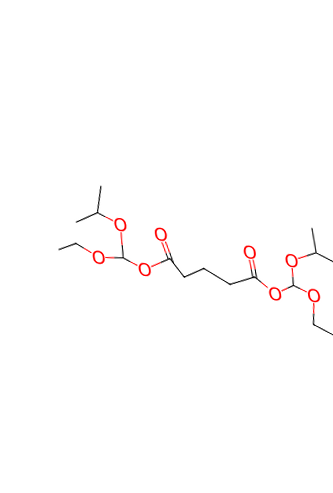 CCOC(OC(=O)CCCC(=O)OC(OCC)OC(C)C)OC(C)C